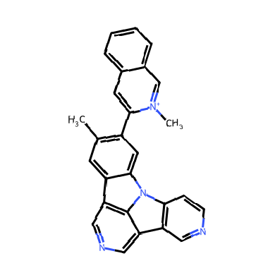 Cc1cc2c3cncc4c5cnccc5n(c2cc1-c1cc2ccccc2c[n+]1C)c43